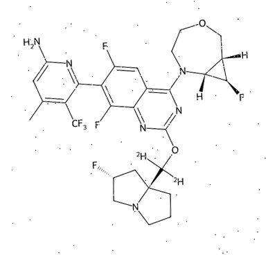 [2H]C([2H])(Oc1nc(N2CCOC[C@@H]3[C@@H](F)[C@@H]32)c2cc(F)c(-c3nc(N)cc(C)c3C(F)(F)F)c(F)c2n1)[C@@]12CCCN1C[C@H](F)C2